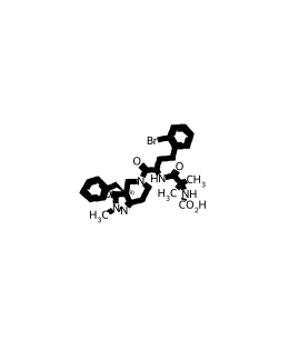 CN1N=C2CCN(C(=O)C(CCc3ccccc3Br)NC(=O)C(C)(C)NC(=O)O)C[C@@]2(Cc2ccccc2)C1=O